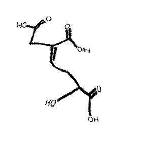 O=C(O)CC(=CCC(O)C(=O)O)C(=O)O